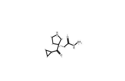 NNC(=O)C[C@]1(C(=O)C2CC2)CCNC1